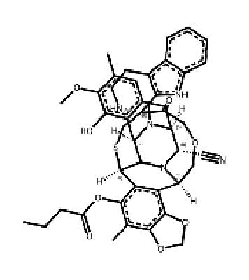 CCCC(=O)Oc1c(C)c2c(c3c1[C@H]1SC[C@]4(NCCc5c4[nH]c4ccccc54)C(=O)COC[C@@H]3N3C1[C@H]1c4c(cc(C)c(OC)c4O)C[C@@H]([C@@H]3C#N)N1C)OCO2